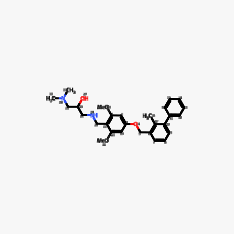 COc1cc(OCc2cccc(-c3ccccc3)c2C)cc(OC)c1CNCC(O)CN(C)C